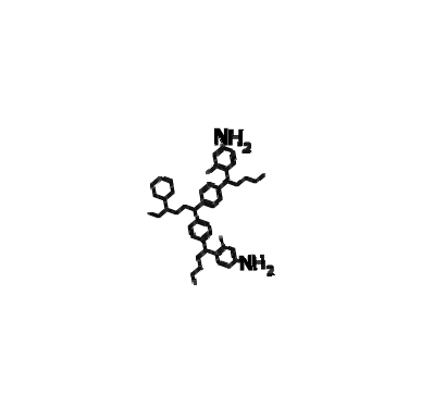 CCCCC(c1ccc(C(CCC(CC)C2CCCCC2)c2ccc(C(CCCC)c3ccc(N)cc3C)cc2)cc1)c1ccc(N)cc1C